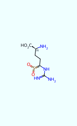 N=C(N)NC(CC[C@H](N)C(=O)O)=S(=O)=O